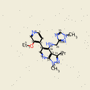 CCOc1cnccc1-c1cnc2c(c(C(C)C)nn2C)c1NCc1ncn(C)n1